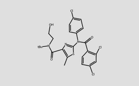 Cc1sc(N(C(=O)c2ccc(Cl)cc2Cl)c2ccc(Cl)cc2)nc1C(=O)N(CCO)C(C)(C)C